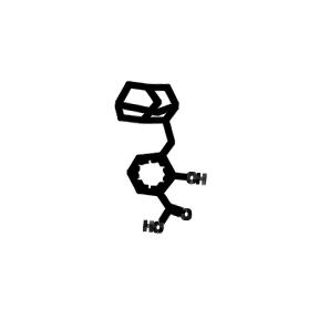 O=C(O)c1cccc(CC2C3CC4CC(C3)CC2C4)c1O